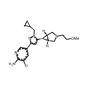 COCCN1C[C@@H]2[C@H](C1)[C@H]2c1cc(-c2cnc(N)c(Cl)c2)nn1CC1CC1